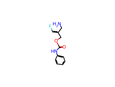 NCC(=CF)COC(=O)Nc1ccccc1